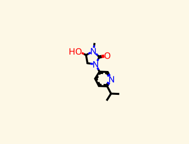 CC(C)c1ccc(N2CC(O)N(C)C2=O)cn1